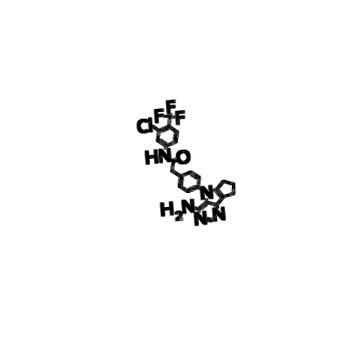 Nc1ncnc2c3c(n(-c4ccc(CC(=O)Nc5ccc(C(F)(F)F)c(Cl)c5)cc4)c12)CCC3